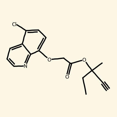 C#CC(C)(CC)OC(=O)COc1ccc(Cl)c2cccnc12